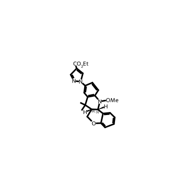 CCOC(=O)c1cnn(-c2ccc3c(c2)C(C)(C)[C@H]2COc4ccccc4[C@H]2N3OC)c1